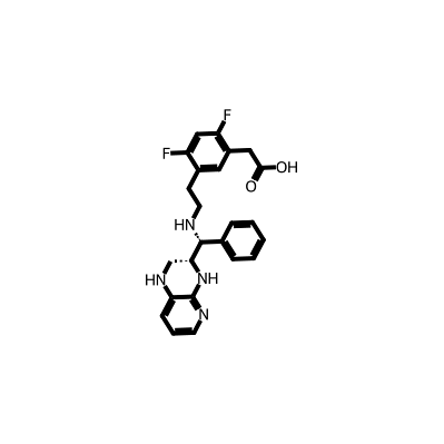 O=C(O)Cc1cc(CCN[C@H](c2ccccc2)[C@H]2CNc3cccnc3N2)c(F)cc1F